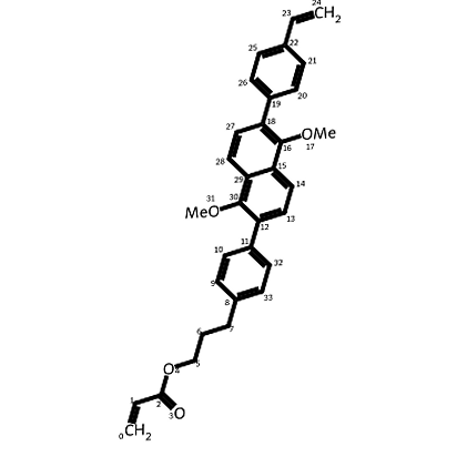 C=CC(=O)OCCCc1ccc(-c2ccc3c(OC)c(-c4ccc(C=C)cc4)ccc3c2OC)cc1